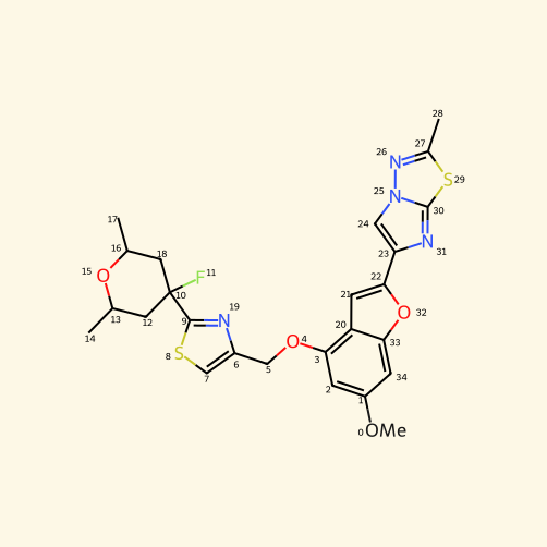 COc1cc(OCc2csc(C3(F)CC(C)OC(C)C3)n2)c2cc(-c3cn4nc(C)sc4n3)oc2c1